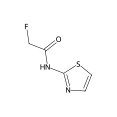 O=C(CF)Nc1nccs1